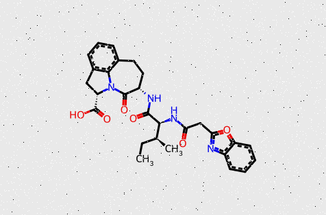 CC[C@H](C)[C@H](NC(=O)Cc1nc2ccccc2o1)C(=O)N[C@H]1CCc2cccc3c2N(C1=O)[C@H](C(=O)O)C3